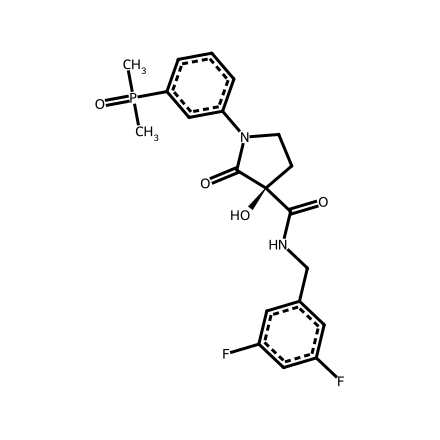 CP(C)(=O)c1cccc(N2CC[C@](O)(C(=O)NCc3cc(F)cc(F)c3)C2=O)c1